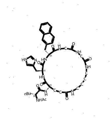 CCCC[C@@H](NC(C)=O)C(=O)N[C@H]1CCC(=O)NCCCCNC(=O)CNC(=O)CNC(=O)[C@@H](Cc2ccc3ccccc3c2)NC(=O)[C@H](Cc2c[nH]cn2)NC1=O